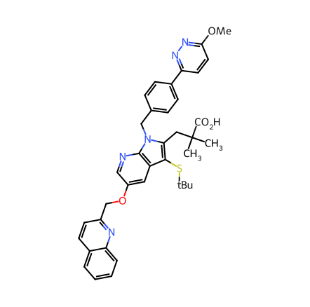 COc1ccc(-c2ccc(Cn3c(CC(C)(C)C(=O)O)c(SC(C)(C)C)c4cc(OCc5ccc6ccccc6n5)cnc43)cc2)nn1